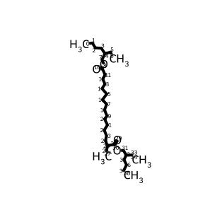 CCCCC(CC)COC(=O)CCCCCCCCCCCCCCC(CC)C(=O)OCC(CC)CCCC